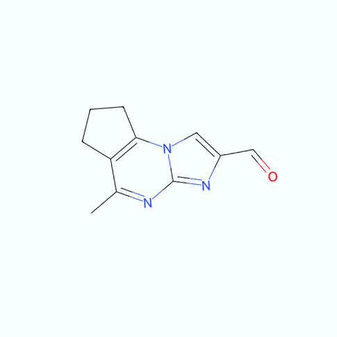 Cc1nc2nc(C=O)cn2c2c1CCC2